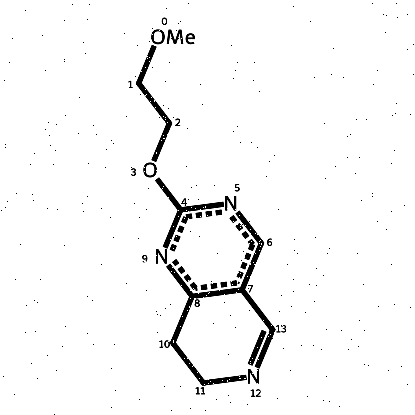 COCCOc1ncc2c(n1)CCN=C2